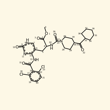 COC(=O)C(Cc1c[nH]c(=O)nc1NC(=O)c1c(Cl)cccc1Cl)NC(=O)N1CCC(C(=O)C2CCCCC2)CC1